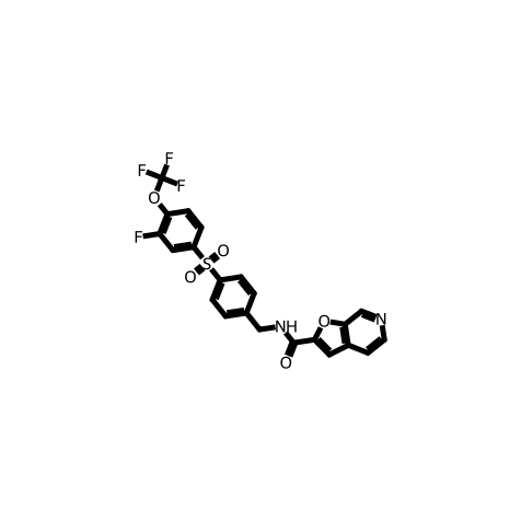 O=C(NCc1ccc(S(=O)(=O)c2ccc(OC(F)(F)F)c(F)c2)cc1)c1cc2ccncc2o1